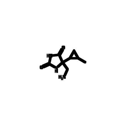 CC1CC1C1(CN)NC(=O)NC1=O